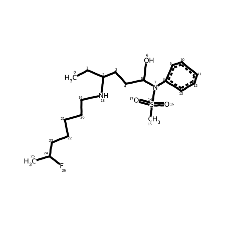 CCC(CCC(O)N(c1ccccc1)S(C)(=O)=O)NCCCCCC(C)F